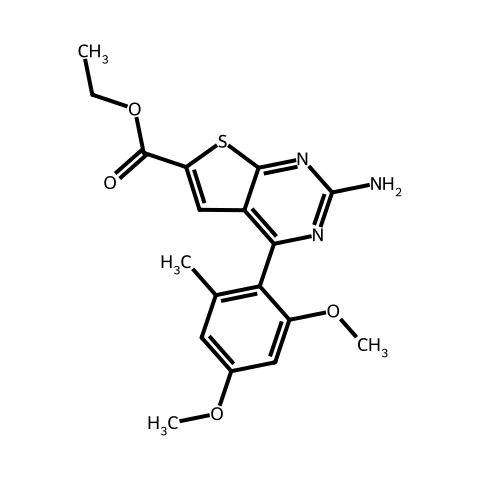 CCOC(=O)c1cc2c(-c3c(C)cc(OC)cc3OC)nc(N)nc2s1